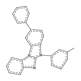 Cc1cccc(-n2c3ccc(-c4ccccc4)cc3n3c4ccccc4nc23)c1